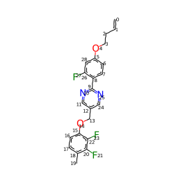 C=CCCOc1ccc(-c2ncc(COc3ccc(C)c(F)c3F)cn2)c(F)c1